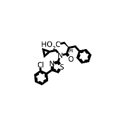 O=C(O)C[C@@H](Cc1ccccc1)C(=O)N(CC1CC1)c1nc(-c2ccccc2Cl)cs1